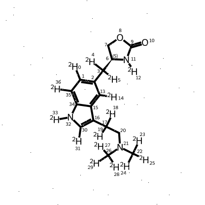 [2H]c1c(C([2H])([2H])[C@H]2COC(=O)N2[2H])c([2H])c2c(C([2H])([2H])CN(C([2H])([2H])[2H])C([2H])([2H])[2H])c([2H])n([2H])c2c1[2H]